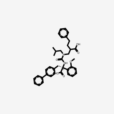 COc1ccccc1[C@](Cc1ccc(-c2ccccc2)cc1)(NC(=O)N(CC(C)C)CC(CCc1ccccc1)C(=O)O)C(=O)O